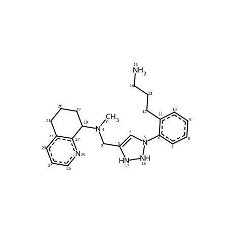 CN(CC1=CN(c2ccccc2CCCN)NN1)C1CCCc2cccnc21